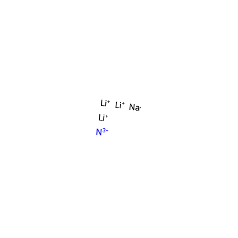 [Li+].[Li+].[Li+].[N-3].[Na]